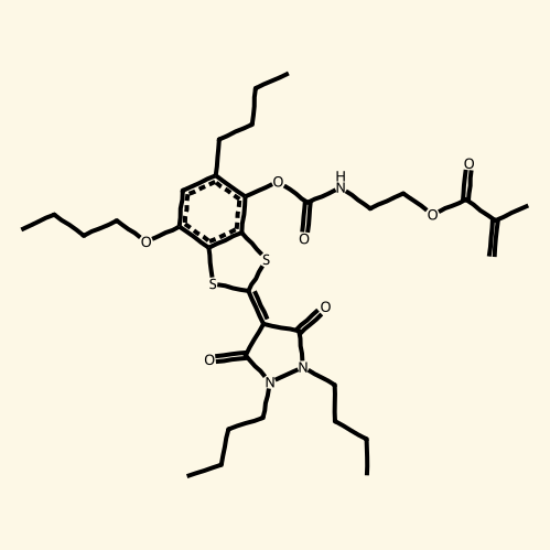 C=C(C)C(=O)OCCNC(=O)Oc1c(CCCC)cc(OCCCC)c2c1SC(=C1C(=O)N(CCCC)N(CCCC)C1=O)S2